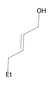 CCCC=CCO